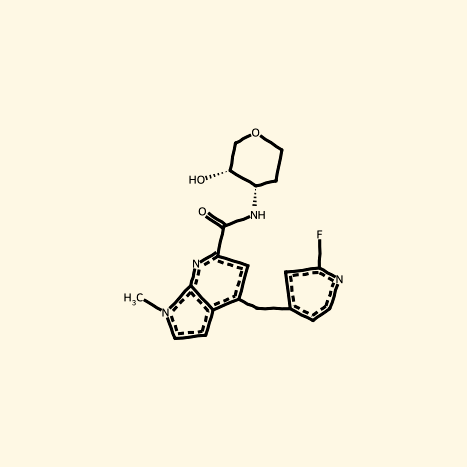 Cn1ccc2c(Cc3ccnc(F)c3)cc(C(=O)N[C@H]3CCOC[C@H]3O)nc21